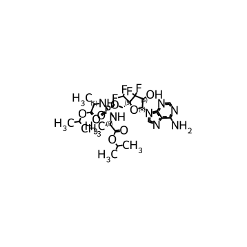 CC(C)OC(=O)[C@H](C)NP(=O)(N[C@@H](C)C(=O)OC(C)C)OC[C@@]1(C(F)F)O[C@@H](n2cnc3c(N)ncnc32)[C@H](O)C1(F)F